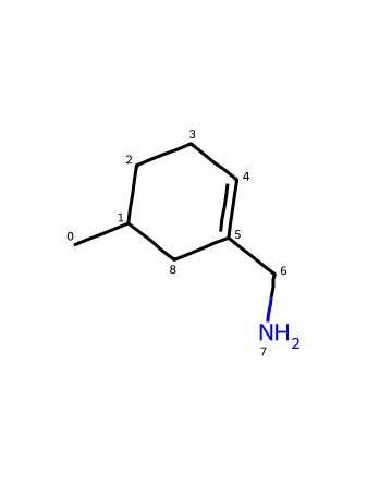 CC1CCC=C(CN)C1